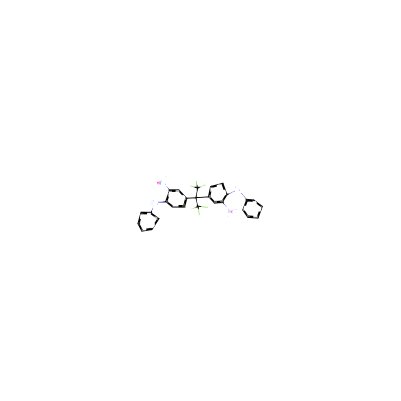 O=[N+]([O-])c1cc(C(c2ccc(Nc3ccccc3)c([N+](=O)[O-])c2)(C(F)(F)F)C(F)(F)F)ccc1Nc1ccccc1